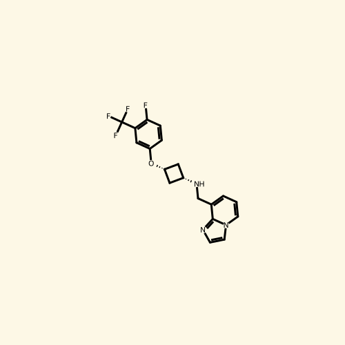 Fc1ccc(O[C@H]2C[C@@H](NCc3cccn4ccnc34)C2)cc1C(F)(F)F